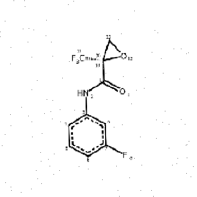 O=C(Nc1cccc(F)c1)[C@@]1(C(F)(F)F)CO1